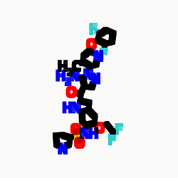 Cc1cc(Oc2c(F)cccc2F)ncc1-n1ncc(C(=O)c2cc3cc(OCC(F)F)c(NS(=O)(=O)c4cccnc4)cc3[nH]2)c1N